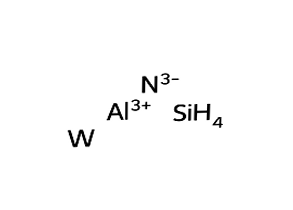 [Al+3].[N-3].[SiH4].[W]